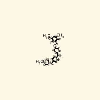 COc1cc(C)c(F)c(COc2cnc(Nc3ccc(CN4CCN(C)CC4)cn3)nc2)c1F